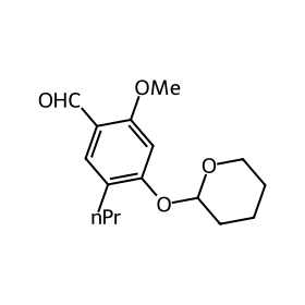 CCCc1cc(C=O)c(OC)cc1OC1CCCCO1